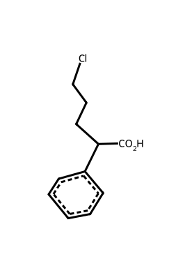 O=C(O)C(CCCCl)c1ccccc1